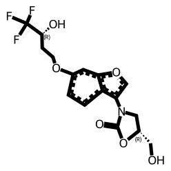 O=C1O[C@@H](CO)CN1c1coc2cc(OCC[C@@H](O)C(F)(F)F)ccc12